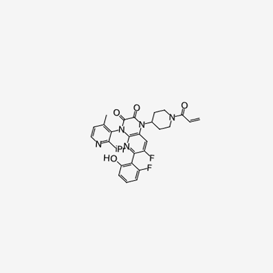 C=CC(=O)N1CCC(n2c(=O)c(=O)n(-c3c(C)ccnc3C(C)C)c3nc(-c4c(O)cccc4F)c(F)cc32)CC1